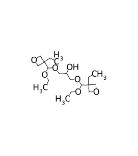 CCOC(OCC(O)COC(OCC)C1(CC)COC1)C1(CC)COC1